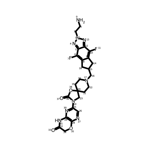 NCCn1nc2c(F)c3c(c(F)c2n1)CC(CN1CCC2(CC1)CN(c1cnc4c(n1)NC(=O)CO4)C(=O)O2)C3